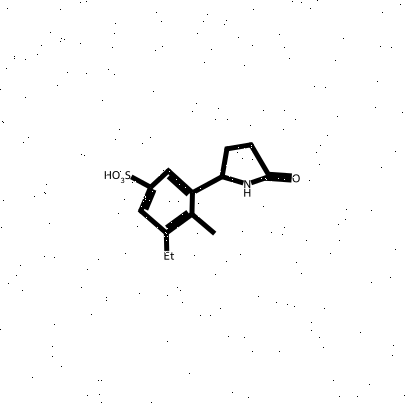 CCc1cc(S(=O)(=O)O)cc(C2CCC(=O)N2)c1C